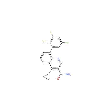 NC(=O)c1cnc2c(-c3cc(F)cc(F)c3F)cccc2c1C1CC1